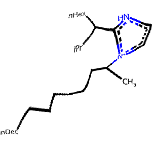 CCCCCCCCCCCCCCCC(C)[n+]1cc[nH]c1C(CCCCCC)C(C)C